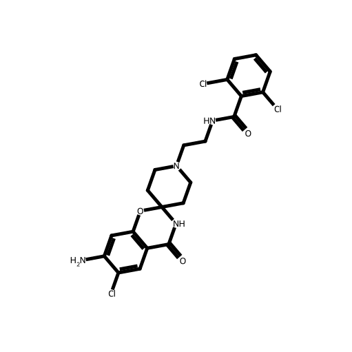 Nc1cc2c(cc1Cl)C(=O)NC1(CCN(CCNC(=O)c3c(Cl)cccc3Cl)CC1)O2